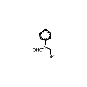 CC(C)CN([C]=O)c1ccccc1